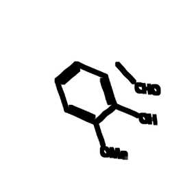 CC=O.COc1ccccc1O